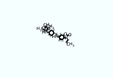 CCCn1c(=O)oc2cc(NC[C@H]3CC[C@H](NS(=O)(=O)C(C)(C)C)CC3)ccc21